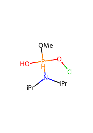 CO[PH](O)(OCl)N(C(C)C)C(C)C